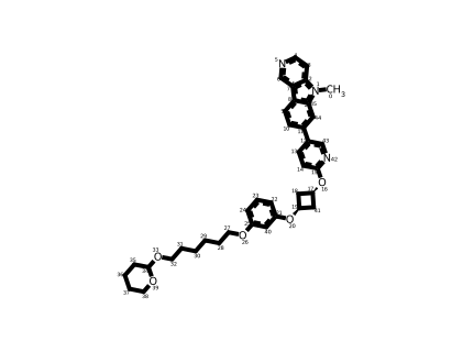 Cn1c2ccncc2c2ccc(-c3ccc(O[C@H]4C[C@H](Oc5cccc(OCCCCCCOC6CCCCO6)c5)C4)nc3)cc21